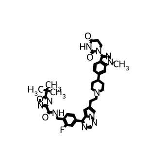 Cn1nc(N2CCC(=O)NC2=O)c2ccc(C3CCN(CCc4cc5c(-c6ccc(CNC(=O)c7noc(C(C)(C)C)n7)c(F)c6)ncnn5c4)CC3)cc21